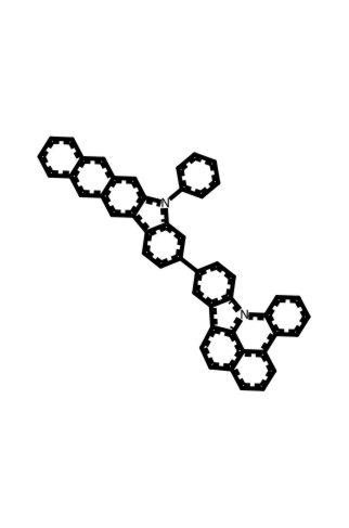 c1ccc(-n2c3cc(-c4ccc5c(c4)c4ccc6cccc7c8ccccc8n5c4c67)ccc3c3cc4cc5ccccc5cc4cc32)cc1